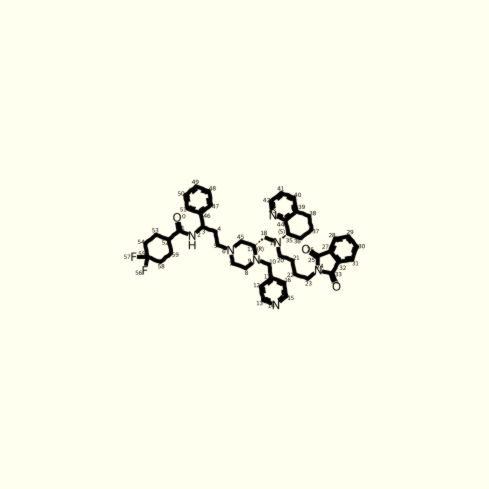 O=C(NC(CCN1CCN(Cc2ccncc2)[C@@H](CN(CCCCN2C(=O)c3ccccc3C2=O)[C@H]2CCCc3cccnc32)C1)c1ccccc1)C1CCC(F)(F)CC1